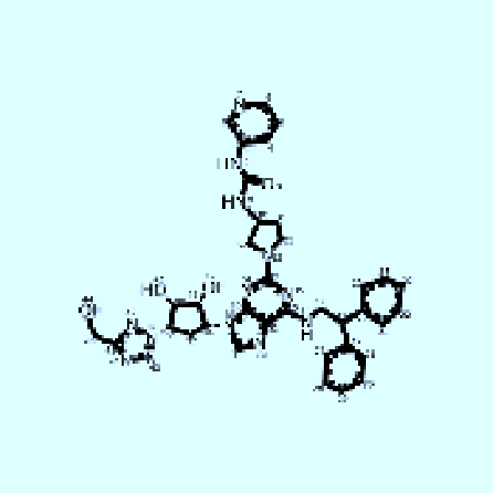 O=C(Nc1cccnc1)NC1CCN(c2nc(NCC(c3ccccc3)c3ccccc3)c3ncn([C@@H]4C[C@H](n5nnc(CO)n5)[C@@H](O)[C@H]4O)c3n2)C1